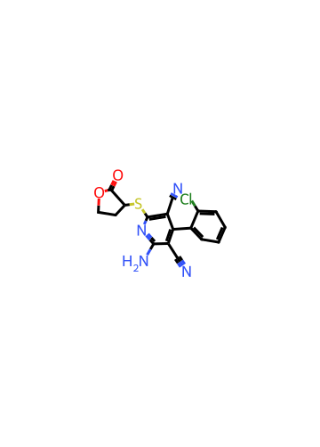 N#Cc1c(N)nc(SC2CCOC2=O)c(C#N)c1-c1ccccc1Cl